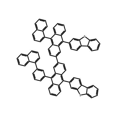 c1cc(-c2cccc3ccccc23)cc(-c2c3ccccc3c(-c3ccc4c(c3)sc3ccccc34)c3ccc(-c4ccc5c(-c6cccc7ccccc67)c6ccccc6c(-c6ccc7c(c6)sc6ccccc67)c5c4)cc23)c1